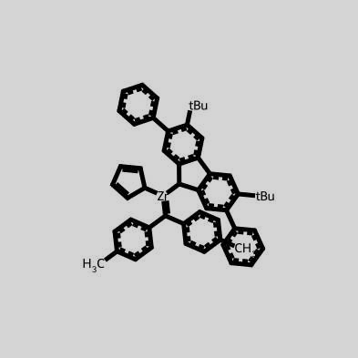 Cc1ccc([C](c2ccc(C)cc2)=[Zr]([CH]2C=CC=C2)[CH]2c3cc(-c4ccccc4)c(C(C)(C)C)cc3-c3cc(C(C)(C)C)c(-c4ccccc4)cc32)cc1